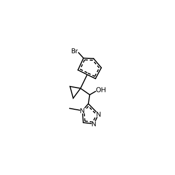 Cn1cnnc1C(O)C1(c2cccc(Br)c2)CC1